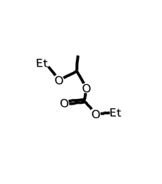 [CH2]COC(=O)OC(C)OCC